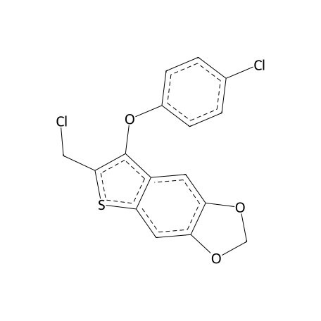 ClCc1sc2cc3c(cc2c1Oc1ccc(Cl)cc1)OCO3